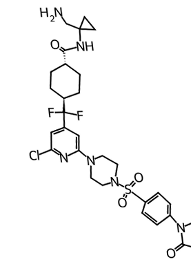 NCC1(NC(=O)[C@H]2CC[C@H](C(F)(F)c3cc(Cl)nc(N4CCN(S(=O)(=O)c5ccc(N6CCCC6=O)cc5)CC4)c3)CC2)CC1